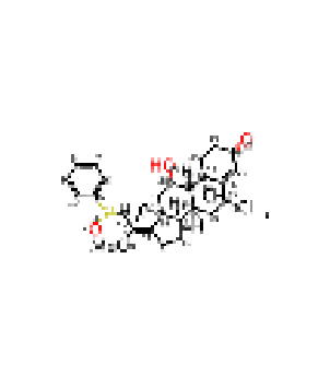 COC(C[S+]([O-])c1ccccc1)=C1CC[C@H]2[C@@H]3CC(C)C4=CC(=O)CC[C@]4(C)[C@H]3C(O)C[C@]12C